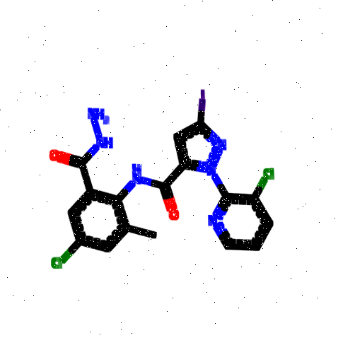 Cc1cc(Cl)cc(C(=O)NN)c1NC(=O)c1cc(I)nn1-c1ncccc1Cl